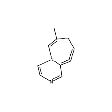 CC1=CN2C=CN=CC2=C=CC1